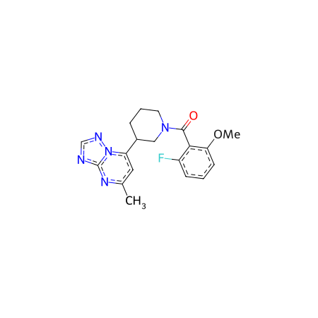 COc1cccc(F)c1C(=O)N1CCCC(c2cc(C)nc3ncnn23)C1